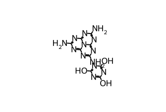 NC1=NC2=NC(N)=NC3=NC(N)=NC(=N1)N23.Oc1nc(O)nc(O)n1